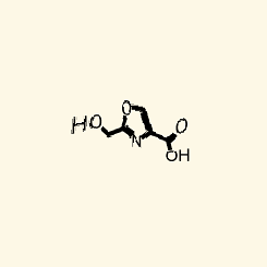 O=C(O)c1coc(CO)n1